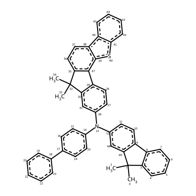 CC1(C)c2ccccc2-c2ccc(N(c3ccc(-c4ccccc4)cc3)c3ccc4c(c3)C(C)(C)c3ccc5c(sc6ccccc65)c3-4)cc21